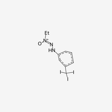 CC/[N+]([O-])=N/Nc1cccc(C(I)(I)I)c1